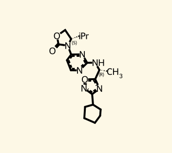 CC(C)[C@H]1COC(=O)N1c1ccnc(N[C@H](C)c2nc(C3CCCCC3)no2)n1